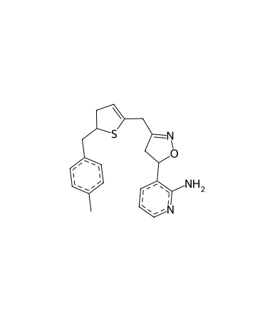 Cc1ccc(CC2CC=C(CC3=NOC(c4cccnc4N)C3)S2)cc1